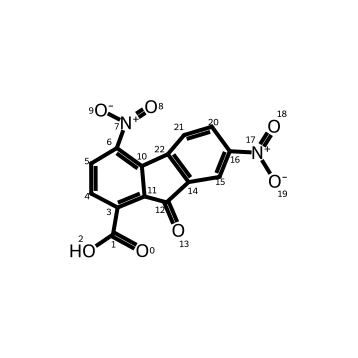 O=C(O)c1ccc([N+](=O)[O-])c2c1C(=O)c1cc([N+](=O)[O-])ccc1-2